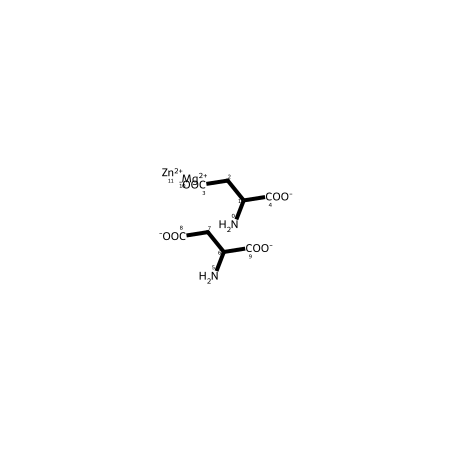 NC(CC(=O)[O-])C(=O)[O-].NC(CC(=O)[O-])C(=O)[O-].[Mg+2].[Zn+2]